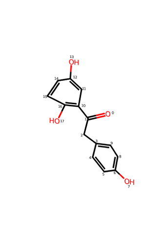 O=C(Cc1ccc(O)cc1)c1cc(O)ccc1O